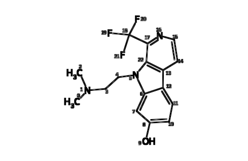 CN(C)CCn1c2cc(O)ccc2c2ccnc(C(F)(F)F)c21